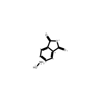 NO.O=C1OC(=O)c2ccccc21